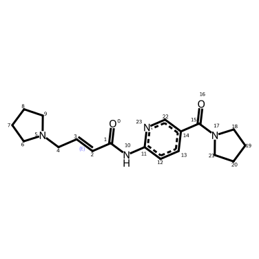 O=C(/C=C/CN1CCCC1)Nc1ccc(C(=O)N2CCCC2)cn1